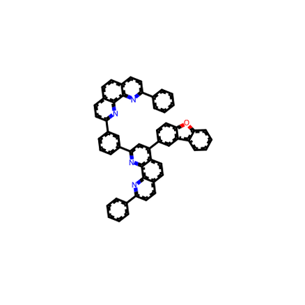 c1ccc(-c2ccc3ccc4ccc(-c5cccc(-c6cc(-c7ccc8oc9ccccc9c8c7)c7ccc8ccc(-c9ccccc9)nc8c7n6)c5)nc4c3n2)cc1